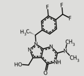 C[C@H](c1ccc(C(F)F)c(F)c1)n1nc(CO)c2c(=O)[nH]c(N(C)C)nc21